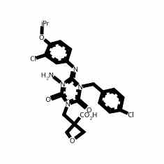 CC(C)Oc1ccc(/N=c2\n(N)c(=O)n(CC3(C(=O)O)COC3)c(=O)n2Cc2ccc(Cl)cc2)cc1Cl